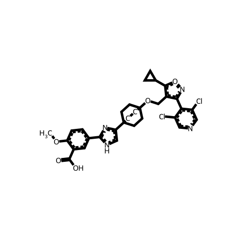 COc1ccc(-c2nc(C34CCC(OCc5c(-c6c(Cl)cncc6Cl)noc5C5CC5)(CC3)CC4)c[nH]2)cc1C(=O)O